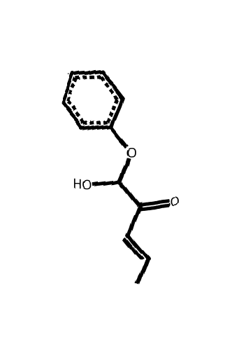 CC=CC(=O)C(O)Oc1cc[c]cc1